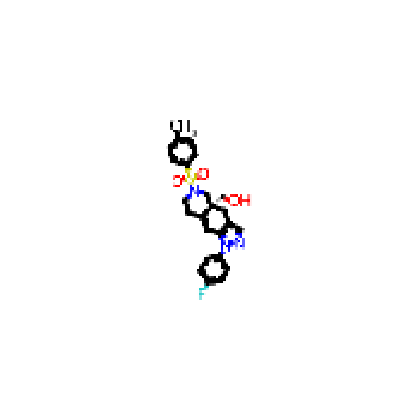 Cc1ccc(S(=O)(=O)N2CCC3=Cc4c(cnn4-c4ccc(F)cc4)C[C@]3(CO)C2)cc1